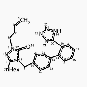 C=CCCn1nc(CCCCCC)n(Cc2ccc(-c3ccccc3-c3nnn[nH]3)cc2)c1=O